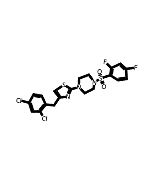 O=S(=O)(c1ccc(F)cc1F)N1CCN(c2nc(Cc3ccc(Cl)cc3Cl)cs2)CC1